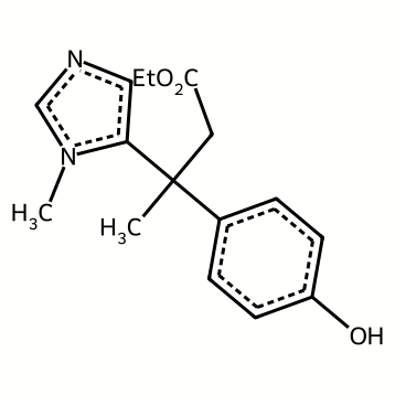 CCOC(=O)CC(C)(c1ccc(O)cc1)c1cncn1C